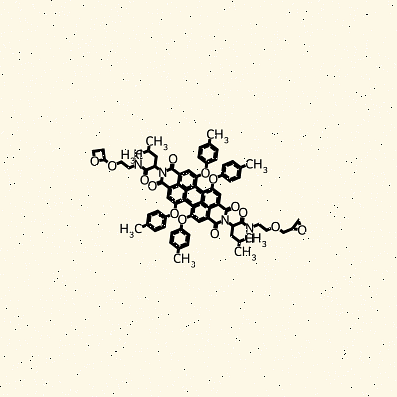 Cc1ccc(Oc2cc3c4c(cc(Oc5ccc(C)cc5)c5c6c(Oc7ccc(C)cc7)cc7c8c(cc(Oc9ccc(C)cc9)c(c2c45)c86)C(=O)N(C(CC(C)C)C(=O)NCCOC2CCO2)C7=O)C(=O)N(C(CC(C)C)C(=O)NCCOCC2CO2)C3=O)cc1